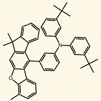 Cc1cccc2c1oc1cc3c(c(-c4cccc(N(c5cccc(C(C)(C)C)c5)c5cccc(C(C)(C)C)c5)c4)c12)-c1ccccc1C3(C)C